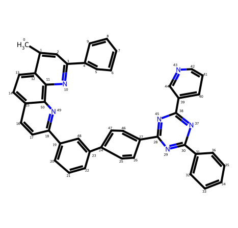 Cc1cc(-c2ccccc2)nc2c1ccc1ccc(-c3cccc(-c4ccc(-c5nc(-c6ccccc6)nc(-c6cccnc6)n5)cc4)c3)nc12